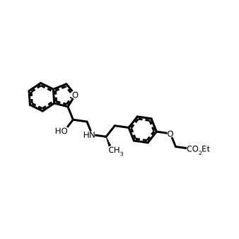 CCOC(=O)COc1ccc(C[C@@H](C)NCC(O)c2occ3ccccc23)cc1